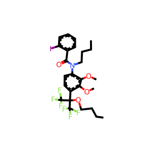 CCCCOC(c1ccc(N(CCCC)C(=O)c2ccccc2I)c(OC)c1OC)(C(F)(F)F)C(F)(F)F